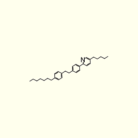 CCCCCCCc1ccc(CCc2ccc(-c3ccc(CCCCC)cn3)cc2)cc1